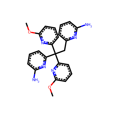 COc1cccc(C(Cc2cccc(N)n2)(c2cccc(N)n2)c2cccc(OC)n2)n1